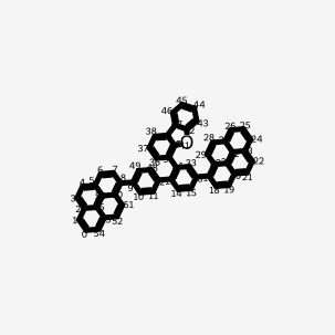 c1cc2ccc3ccc(-c4ccc(-c5ccc(-c6ccc7ccc8cccc9ccc6c7c89)cc5-c5cccc6c5oc5ccccc56)cc4)c4ccc(c1)c2c34